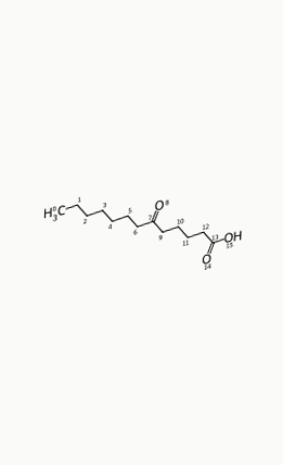 CCCCCCCC(=O)CCCCC(=O)O